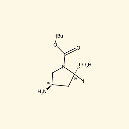 CC(C)(C)OC(=O)N1C[C@H](N)C[C@@]1(I)C(=O)O